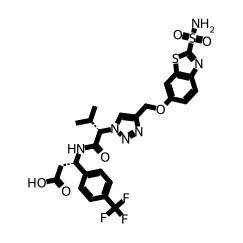 CC(C)[C@@H](C(=O)N[C@@H](CC(=O)O)c1ccc(C(F)(F)F)cc1)n1cc(COc2ccc3nc(S(N)(=O)=O)sc3c2)nn1